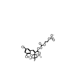 Cc1cc(Cl)cc2c1OC(C)(C(F)(F)F)C(C(=O)OOC(=O)OCCO[N+](=O)[O-])=C2